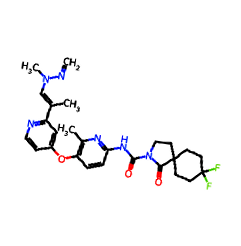 C=NN(C)/C=C(\C)c1cc(Oc2ccc(NC(=O)N3CCC4(CCC(F)(F)CC4)C3=O)nc2C)ccn1